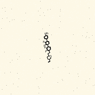 C=CC1CCC(CCc2ccc(-c3ccc(-c4ccc(CCC)cc4)c(F)c3F)c(F)c2F)OC1